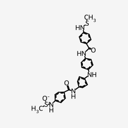 CSNc1ccc(C(=O)Nc2ccc(Nc3ccc(NC(=O)c4ccc(N[S+](C)[O-])cc4)cc3)cc2)cc1